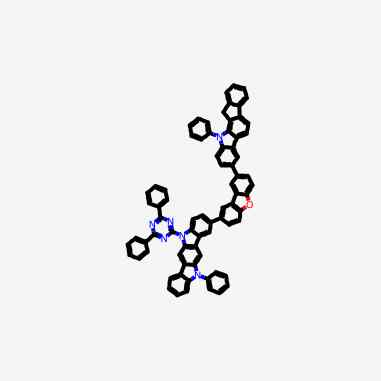 c1ccc(-c2nc(-c3ccccc3)nc(-n3c4ccc(-c5ccc6oc7ccc(-c8ccc9c(c8)c8ccc%10c(c8n9-c8ccccc8)Cc8ccccc8-%10)cc7c6c5)cc4c4cc5c(cc43)c3ccccc3n5-c3ccccc3)n2)cc1